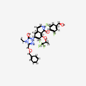 CCn1c(COCc2ccccc2)nn(-c2cc(OC(C)C(F)(F)F)c3c(Oc4c(F)cc(C=O)cc4F)nccc3c2)c1=O